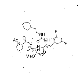 COC(=O)[C@@H](NC(=O)[C@H](Cc1cc(F)cc(F)c1)NC(=O)NCCC1CCCCC1)[C@@H](C)OC(=O)C1CCCN1C(C)=O